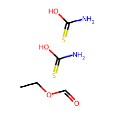 CCOC=O.NC(O)=S.NC(O)=S